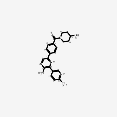 Nc1ncc(-c2ccc(C(=O)N3CCC(O)CC3)cc2)nc1-c1ccc(C(F)(F)F)nc1